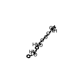 CC(C)(C)OC(=O)NCCOCCOCCOCCC(=O)Nc1ccc(CNC(=O)OCc2ccccc2)cc1